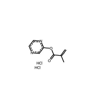 C=C(C)C(=O)Oc1cnccn1.Cl.Cl